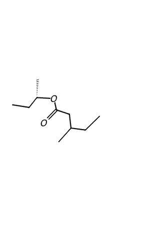 CCC(C)CC(=O)O[C@@H](C)CC